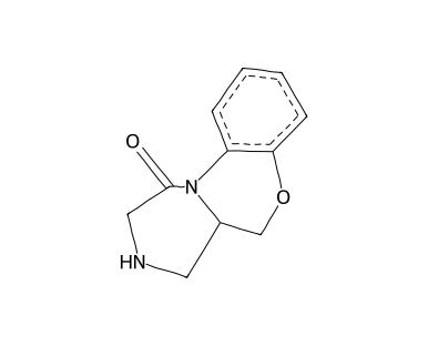 O=C1CNCC2COc3ccccc3N12